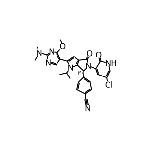 COc1nc(N(C)C)ncc1-c1cc2c(n1C(C)C)[C@H](c1ccc(C#N)cc1)N(c1cc(Cl)c[nH]c1=O)C2=O